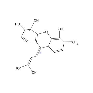 C=C1C=CC2C(=C1O)Oc1c(ccc(O)c1O)/C2=C\C=C(O)O